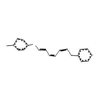 Cc1ccc(S/C=C/C=C\C=C/Cc2ccccc2)cc1